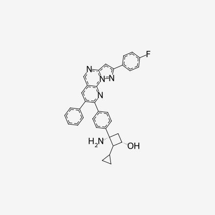 N[C@]1(c2ccc(-c3nc4c(cnc5cc(-c6ccc(F)cc6)nn54)cc3-c3ccccc3)cc2)C[C@H](O)C1C1CC1